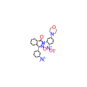 C[N+](C)(C)c1cccc(-c2nn(-c3cc(N4CCOCC4)ccc3[N+](=O)[O-])c(=O)c3ccccc23)c1.[I-]